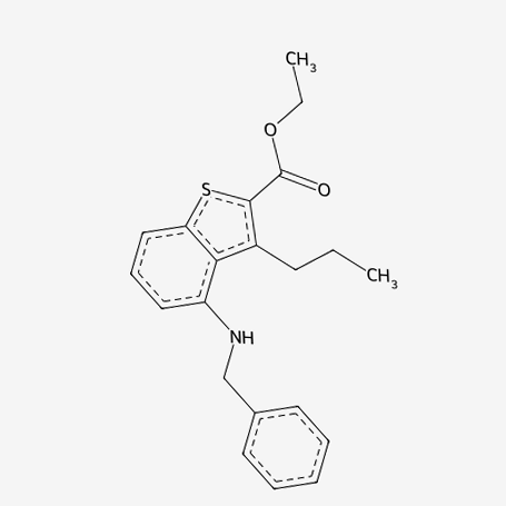 CCCc1c(C(=O)OCC)sc2cccc(NCc3ccccc3)c12